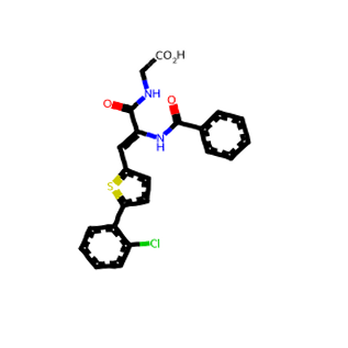 O=C(O)CNC(=O)/C(=C/c1ccc(-c2ccccc2Cl)s1)NC(=O)c1ccccc1